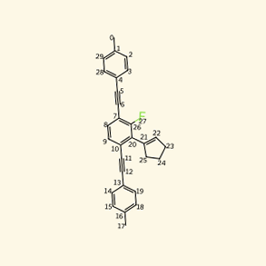 Cc1ccc(C#Cc2ccc(C#Cc3ccc(C)cc3)c(C3=CCCC3)c2F)cc1